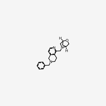 c1ccc(CN2CCc3c(ccnc3CN3C[C@H]4C[C@@H]3CO4)C2)cc1